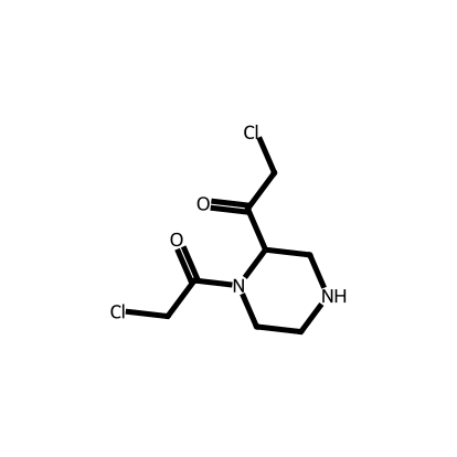 O=C(CCl)C1CNCCN1C(=O)CCl